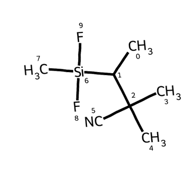 CC(C(C)(C)C#N)[Si](C)(F)F